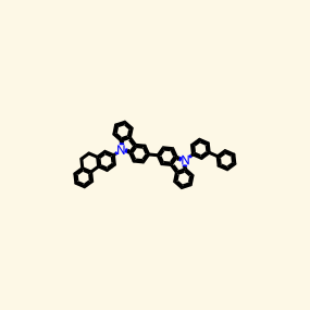 c1ccc(-c2cccc(-n3c4ccccc4c4cc(-c5ccc6c(c5)c5ccccc5n6-c5ccc6c(c5)CCc5ccccc5-6)ccc43)c2)cc1